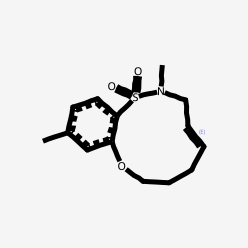 Cc1ccc2c(c1)OCCC/C=C/CN(C)S2(=O)=O